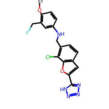 CCOc1ccc(NCc2ccc3cc(-c4nnn[nH]4)oc3c2Cl)cc1CF